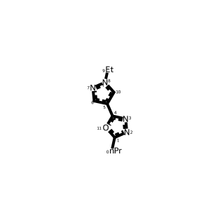 CCCc1nnc(-c2cnn(CC)c2)o1